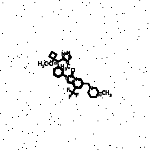 COC1([C@@H](c2cccc(-n3cc4c(C(F)(F)F)cc(CN5CCC[C@H](C)C5)cn4c3=O)c2)c2nncn2C)CCC1